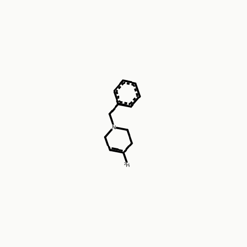 [2H]C1=CCN(Cc2ccccc2)CC1